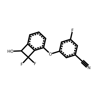 N#Cc1cc(F)cc(Oc2cccc3c2C(F)(F)C3O)c1